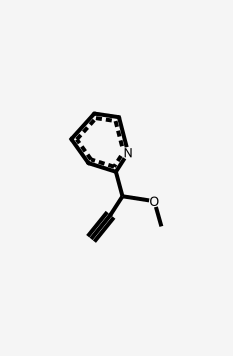 C#CC(OC)c1ccccn1